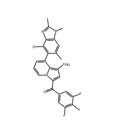 Cc1cc2c(nc(C)n2C)c(Cl)c1-c1cccn2c(C(=O)c3cc(F)c(F)c(F)c3)cc(C=O)c12